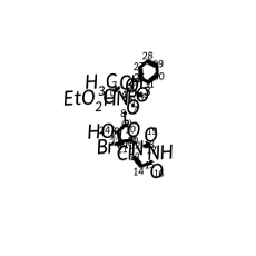 CCOC(=O)C(C)(C)N[P@](=O)(OC[C@H]1O[C@@H](n2ccc(=O)[nH]c2=O)[C@](Cl)(Br)[C@@H]1O)Oc1ccccc1